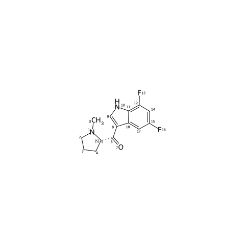 CN1CCC[C@H]1C(=O)c1c[nH]c2c(F)cc(F)cc12